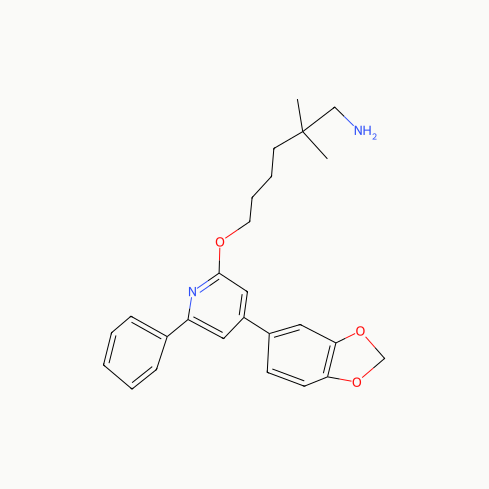 CC(C)(CN)CCCCOc1cc(-c2ccc3c(c2)OCO3)cc(-c2ccccc2)n1